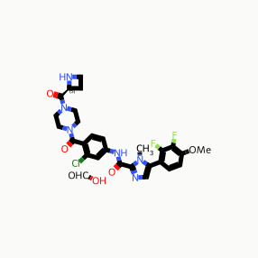 COc1ccc(-c2cnc(C(=O)Nc3ccc(C(=O)N4CCN(C(=O)[C@@H]5CCN5)CC4)c(Cl)c3)n2C)c(F)c1F.O=CO